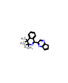 CC1(C)N=C(c2cnc3c(n2)C=CC3)c2ccccc2C1(C)C